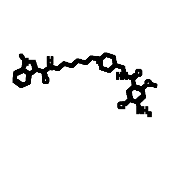 COc1cc(N)c(Cl)cc1C(=O)NCC1CCN(CCCCCCNC(=O)c2cn(C)c3ccccc23)CC1